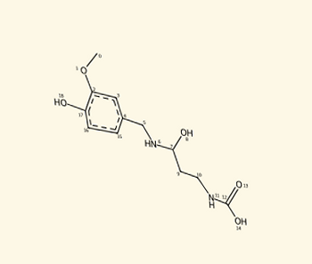 COc1cc(CNC(O)CCNC(=O)O)ccc1O